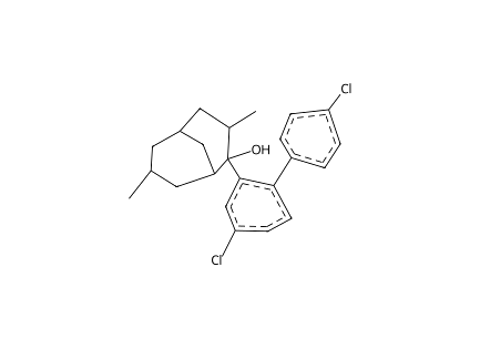 CC1CC2CC(C)C(O)(c3cc(Cl)ccc3-c3ccc(Cl)cc3)C(C1)C2